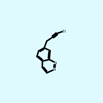 CCC#CCc1ccc2ccnnc2c1